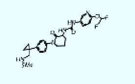 CSNCC1(c2ccc(N3CCCC(NC(=O)Nc4ccc(OC(F)F)nc4)C3=O)cc2)CC1